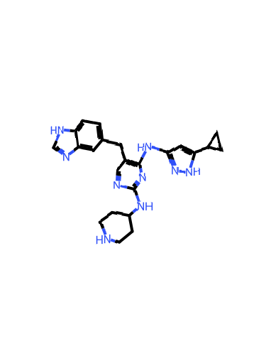 c1nc2cc(Cc3cnc(NC4CCNCC4)nc3Nc3cc(C4CC4)[nH]n3)ccc2[nH]1